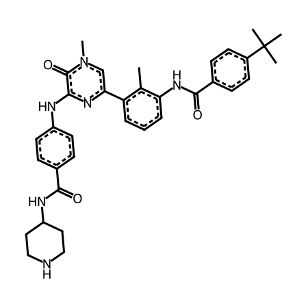 Cc1c(NC(=O)c2ccc(C(C)(C)C)cc2)cccc1-c1cn(C)c(=O)c(Nc2ccc(C(=O)NC3CCNCC3)cc2)n1